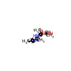 CCc1ccc(/C(=C/C(=O)Nc2ccc(OCC(C)(C)O)c(OC)c2)NC)cc1